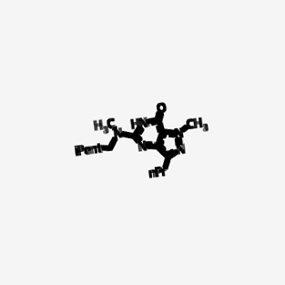 CCCc1nn(C)c2c(=O)[nH]c(N(C)CC(C)CCC)nc12